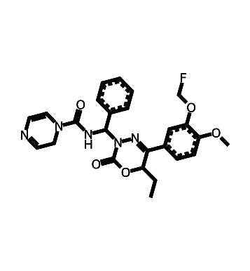 CCC1OC(=O)N(C(NC(=O)N2C=CN=CC2)c2ccccc2)N=C1c1ccc(OC)c(OCF)c1